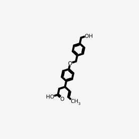 CC=CC(CC(=O)O)c1ccc(OCc2ccc(CO)cc2)cc1